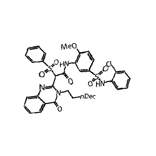 CCCCCCCCCCCCn1c(C(C(=O)Nc2cc(S(=O)(=O)Nc3ccccc3Cl)ccc2OC)S(=O)(=O)c2ccccc2)nc2ccccc2c1=O